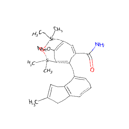 COc1c2cc(C([NH])=O)c(-c3cccc4c3C=C(C)C4)c1[Si](C)(C)O[Si]2(C)C